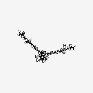 C=C(C)C(=O)OCCNC(=O)OCCOCCOCCOC(=O)c1c(Br)c(Br)c(Br)c(Br)c1C(=O)OCCOCCOCCOC(=O)NCCOC(=O)C(=C)C